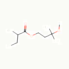 CCOC(C)(C)CCOC(=O)C(CC(C)C)C(C)(C)C